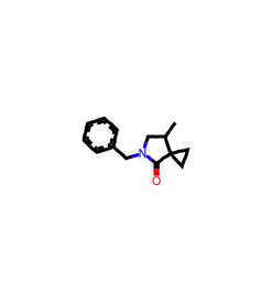 CC1CN(Cc2ccccc2)C(=O)C12CC2